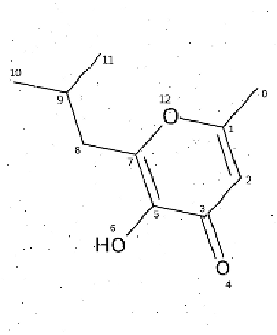 Cc1cc(=O)c(O)c(CC(C)C)o1